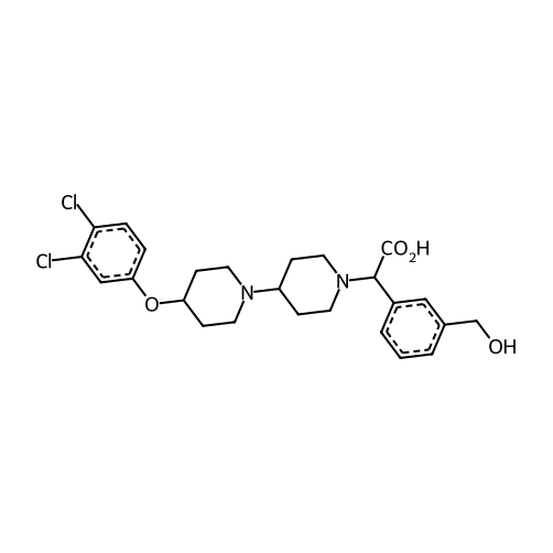 O=C(O)C(c1cccc(CO)c1)N1CCC(N2CCC(Oc3ccc(Cl)c(Cl)c3)CC2)CC1